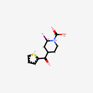 O=C(c1cccs1)C1CCN(C(=O)O)C(I)C1